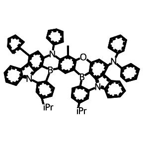 Cc1c2c(cc3c1N(c1ccccc1)c1cc(-c4ccccc4)c4c5ccccc5n5c4c1B3c1ccc(C(C)C)cc1-5)B1c3ccc(C(C)C)cc3-n3c4ccccc4c4c(N(c5ccccc5)c5ccccc5)cc(c1c43)O2